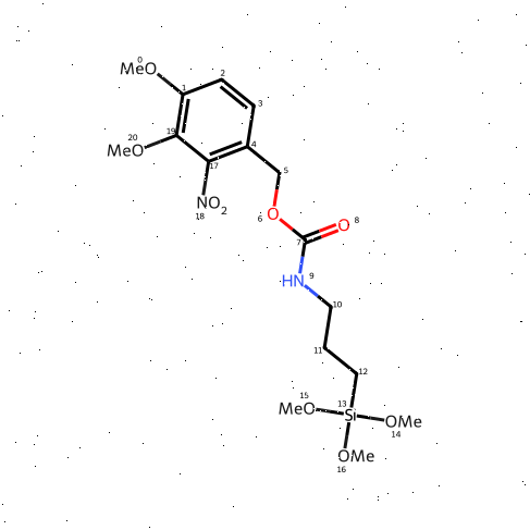 COc1ccc(COC(=O)NCCC[Si](OC)(OC)OC)c([N+](=O)[O-])c1OC